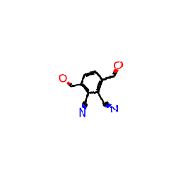 N#Cc1c(C=O)ccc(C=O)c1C#N